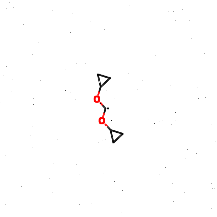 [CH](OC1CC1)OC1CC1